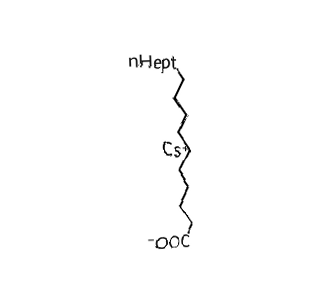 CCCCCCCCCCCCCCCCC(=O)[O-].[Cs+]